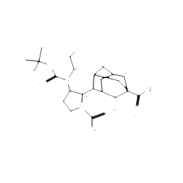 CC(C)(C)OC(=O)N(CCO)C1CCN(C(=O)O)C1C1C2CC3CC1CC(C(N)=O)(C3)C2